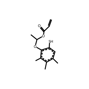 C=CC(=O)OC(C)Oc1c(S)cc(C)c(C)c1C